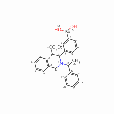 CCOC(=O)CC(c1cccc(B(O)O)c1)N(Cc1ccccc1)C(C)c1ccccc1